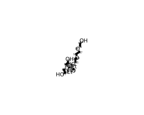 CCOCC.CCOCC.OCCOCCO.OCCOCCOCCO